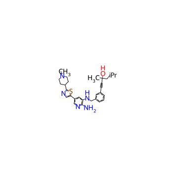 CC(C)CC(C)(O)C#Cc1cccc(CNc2cc(-c3cnc(C4CCN(C)CC4)s3)cnc2N)c1